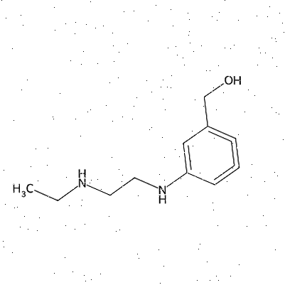 CCNCCNC1=CC(CO)=C=C=C1